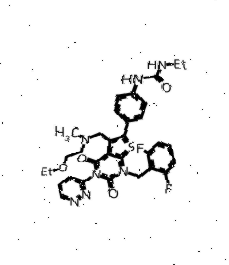 CCNC(=O)Nc1ccc(-c2sc3c(c2CN(C)CCOCC)c(=O)n(-c2cccnn2)c(=O)n3Cc2c(F)cccc2F)cc1